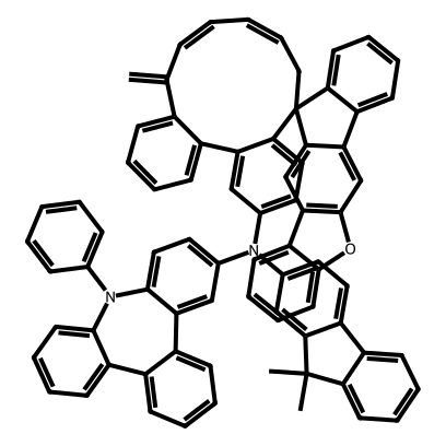 C=C1/C=C\C=C/CC2(c3ccc(N(c4ccc5c(c4)-c4ccccc4-c4ccccc4N5c4ccccc4)c4ccc5c(c4)C(C)(C)c4ccccc4-5)cc3-c3ccccc31)c1ccccc1-c1cc3oc4ccccc4c3cc12